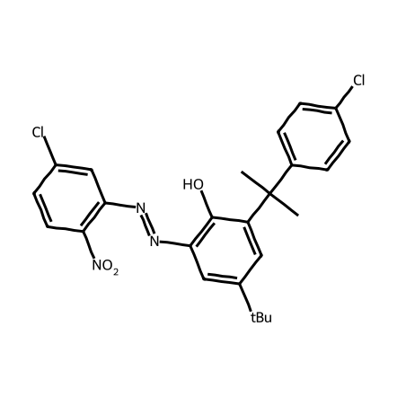 CC(C)(C)c1cc(N=Nc2cc(Cl)ccc2[N+](=O)[O-])c(O)c(C(C)(C)c2ccc(Cl)cc2)c1